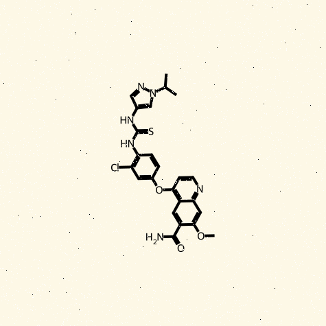 COc1cc2nccc(Oc3ccc(NC(=S)Nc4cnn(C(C)C)c4)c(Cl)c3)c2cc1C(N)=O